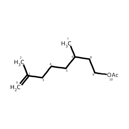 C=C(C)CCCC(C)CCOC(C)=O